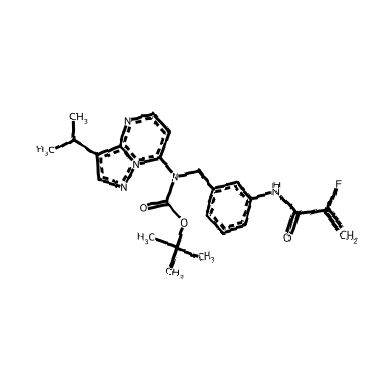 C=C(F)C(=O)Nc1cccc(CN(C(=O)OC(C)(C)C)c2ccnc3c(C(C)C)cnn23)c1